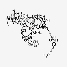 CCCCCCc1ccc(NC(=O)NCCCCCCNCc2c(O)cc3c(c2O)-c2cc(ccc2O)[C@H]2CC(=O)[C@@H]4NC(=O)[C@H](CC(N)=O)CC(=O)[C@H](NC(=O)[C@H](CC)CC(C)C)[C@H](O)c5ccc(c(Cl)c5)Oc5cc4cc(c5O[C@@H]4O[C@H](CO)[C@@H](O)[C@H](O)[C@H]4O[C@H]4C[C@](C)(NC(=O)NC5CC5)[C@H](O)[C@H](C)O4)Oc4ccc(cc4Cl)[C@@H](O)[C@H](NC2=O)C(=O)N[C@@H]3C(=O)O)cc1